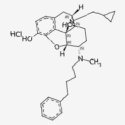 CN(CCCCc1ccccc1)[C@H]1CC[C@@]2(O)[C@H]3Cc4ccc(O)c5c4[C@@]2(CCN3CC2CC2)[C@H]1O5.Cl